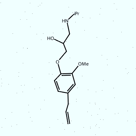 C=CCc1ccc(OCC(O)CNC(C)C)c(OC)c1